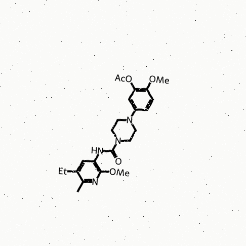 CCc1cc(NC(=O)N2CCN(c3ccc(OC)c(OC(C)=O)c3)CC2)c(OC)nc1C